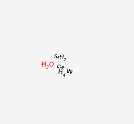 O.[GeH4].[SrH2].[W]